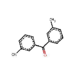 Cc1cccc(C(=O)c2cccc(N=O)c2)c1